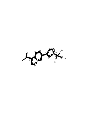 CC(C)c1cnn2cc(-c3cnn(C(F)(F)F)c3)ccc12